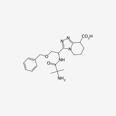 CC(C)(N)C(=O)NC(COCc1ccccc1)c1nnc2n1CCCC2C(=O)O